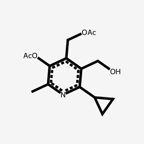 CC(=O)OCc1c(CO)c(C2CC2)nc(C)c1OC(C)=O